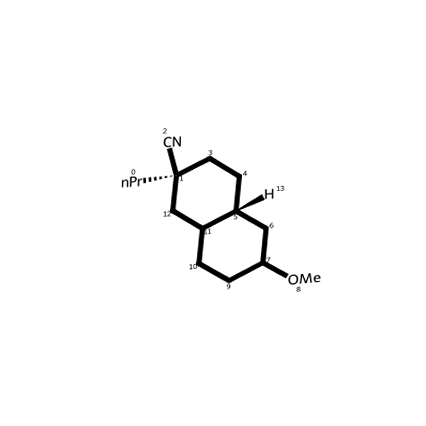 CCC[C@]1(C#N)CC[C@@H]2CC(OC)CCC2C1